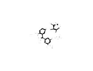 COc1cc(C#N)cc(C(=N)c2cc(O[C@@H](C)c3c(C)cnnc3C)ccc2N)c1